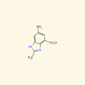 Cc1nc2c(C(=O)O)cc([N+](=O)[O-])cc2[nH]1